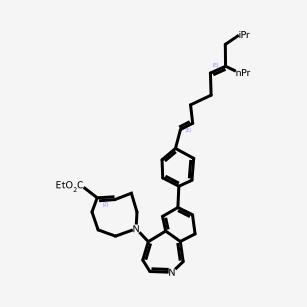 CCC/C(=C\CC/C=C/c1ccc(C2=CCC3=CN=CC=C(N4CC/C=C(\C(=O)OCC)CCC4)C3=C2)cc1)CC(C)C